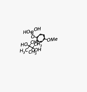 CC(C)(O)C(C)(C)O.COc1ccc(OB(O)O)cc1